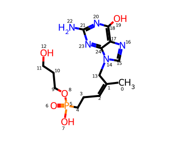 C/C(=C/CCP(=O)(O)OCCCO)Cn1cnc2c(O)nc(N)nc21